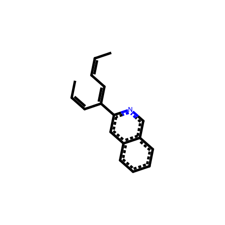 C\C=C/C=C(\C=C/C)c1cc2ccccc2cn1